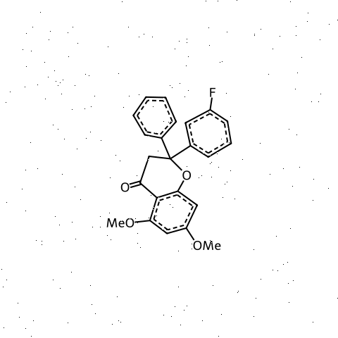 COc1cc(OC)c2c(c1)OC(c1ccccc1)(c1cccc(F)c1)CC2=O